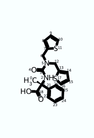 C[C@](NC(=O)N(Cc1cccs1)Cc1cccs1)(C(=O)O)c1ccccc1